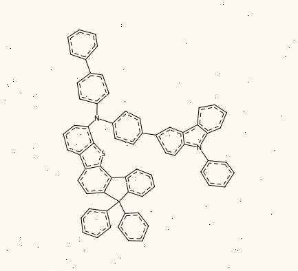 c1ccc(-c2ccc(N(c3ccc(-c4ccc5c(c4)c4ccccc4n5-c4ccccc4)cc3)c3cccc4c3sc3c5c(ccc34)C(c3ccccc3)(c3ccccc3)c3ccccc3-5)cc2)cc1